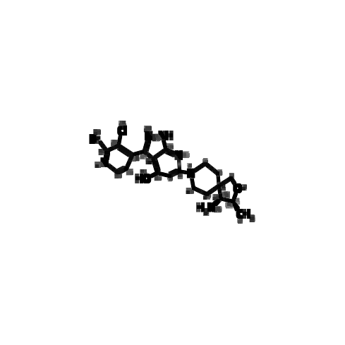 C[C@@H]1OCC2(CCN(c3cc(O)c4c(-c5ccnc(Br)c5Cl)n[nH]c4n3)CC2)[C@@H]1N